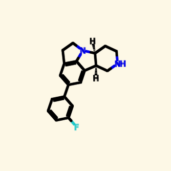 Fc1cccc(-c2cc3c4c(c2)[C@@H]2CNCC[C@@H]2N4CC3)c1